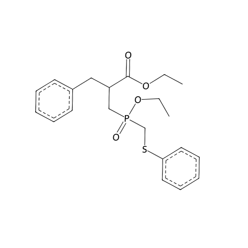 CCOC(=O)C(Cc1ccccc1)CP(=O)(CSc1ccccc1)OCC